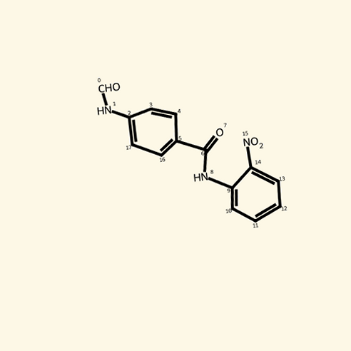 O=CNc1ccc(C(=O)Nc2ccccc2[N+](=O)[O-])cc1